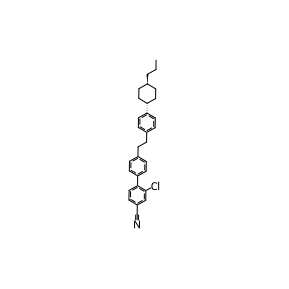 CCC[C@H]1CC[C@H](c2ccc(CCc3ccc(-c4ccc(C#N)cc4Cl)cc3)cc2)CC1